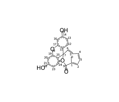 C\C1=C/C=C\C=C\C2(OC1=O)c1ccc(O)cc1Oc1cc(O)ccc12